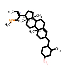 BC1CCC(CC2C=C3CCC4C(CC[C@]5(C)[C@@H](/C(=C/C)CPC)CC[C@]45C)[C@@]3(C)CC2)C(C)C1